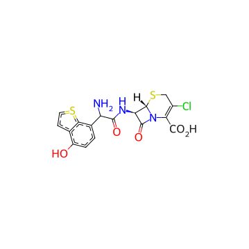 NC(C(=O)N[C@@H]1C(=O)N2C(C(=O)O)=C(Cl)CS[C@@H]12)c1ccc(O)c2ccsc12